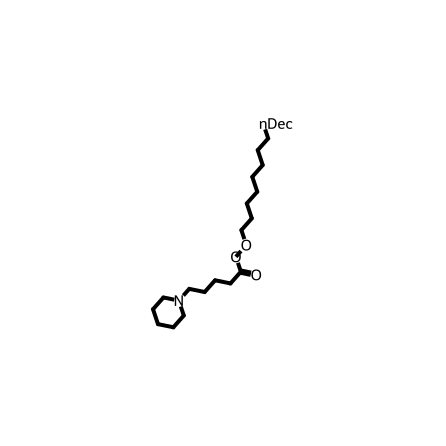 CCCCCCCCCCCCCCCCCCOOC(=O)CCCCN1CCCCC1